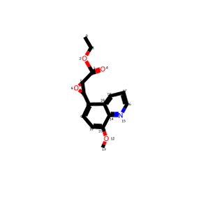 CCOC(=O)C1OC1c1ccc(OC)c2ncccc12